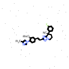 COc1cc(/C=C/c2nc3n(n2)CCCC3(C#N)c2cccc(F)c2)ccc1-n1cnc(C)c1